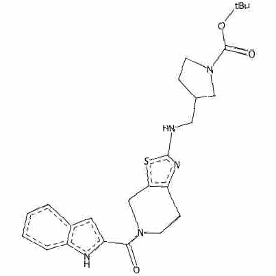 CC(C)(C)OC(=O)N1CCC(CNc2nc3c(s2)CN(C(=O)c2cc4ccccc4[nH]2)CC3)C1